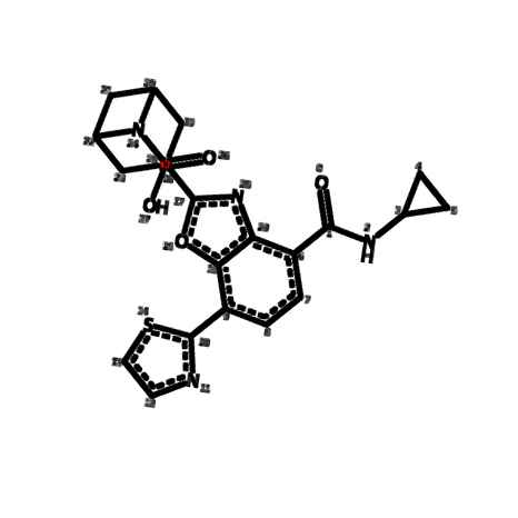 O=C(NC1CC1)c1ccc(-c2nccs2)c2oc(N3CC4CC(C3)N4C(=O)O)nc12